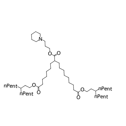 CCCCCC(CCCCC)CCOC(=O)CCCCCCCCC(CCCCCCC(=O)OCCC(CCCCC)CCCCC)C(=O)OCCCN1CCCCC1